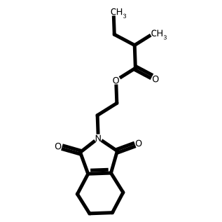 CCC(C)C(=O)OCCN1C(=O)C2=C(CCCC2)C1=O